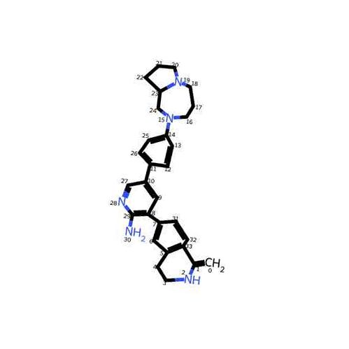 C=C1NCCc2cc(-c3cc(-c4ccc(N5CCCN6CCCC6C5)cc4)cnc3N)ccc21